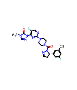 Cn1cnn(-c2nc(N3CCN(C(=O)N4N=CC[C@H]4c4cc(F)cc(C#N)c4)CC3)ncc2F)c1=O